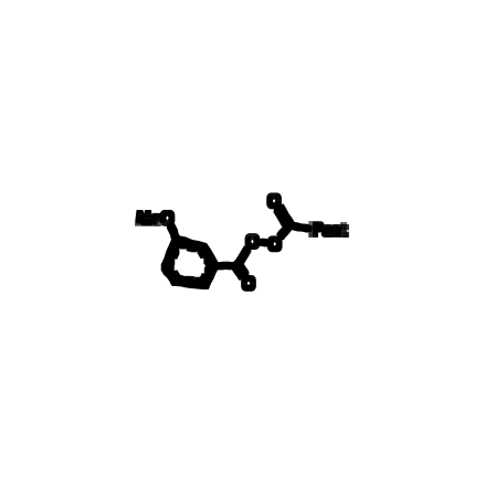 CCCC(C)C(=O)OOC(=O)c1cccc(OC)c1